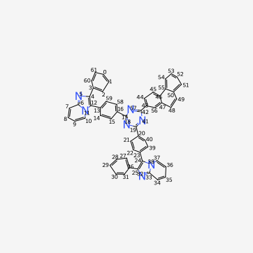 c1ccc(-c2nc3ccccn3c2-c2ccc(-c3nc(-c4ccc(-c5c(-c6ccccc6)nc6ccccn56)cc4)nc(-c4ccc5c(ccc6ccccc65)c4)n3)cc2)cc1